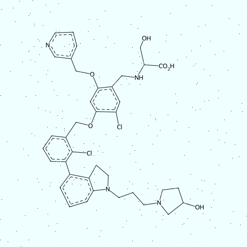 O=C(O)C(CO)NCc1cc(Cl)c(OCc2cccc(-c3cccc4c3CCN4CCCN3CCC(O)C3)c2Cl)cc1OCc1cccnc1